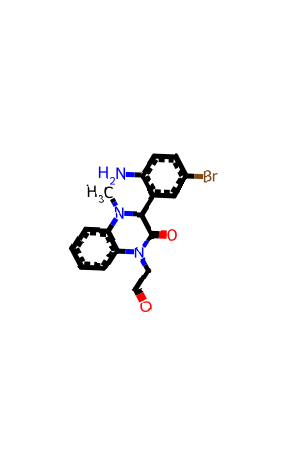 CN1c2ccccc2N(CC=O)C(=O)C1c1cc(Br)ccc1N